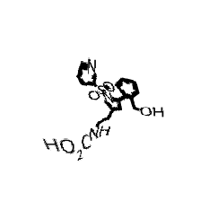 O=C(O)NCCc1cc(-c2ccccc2CO)n(S(=O)(=O)c2cccnc2)c1